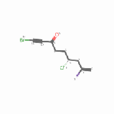 C=C(I)C[C@H](Cl)CCC(=O)C#CBr